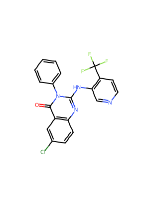 O=c1c2cc(Cl)ccc2nc(Nc2cnccc2C(F)(F)F)n1-c1ccccc1